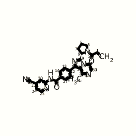 C=CC(=O)N1CCC[C@H]1c1nc(-c2ccc(C(=O)Nc3cc(C#N)ccn3)cc2)c2c(C)nccn12